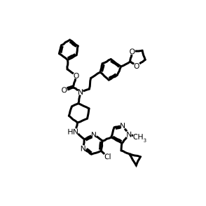 Cn1ncc(-c2nc(NC3CCC(N(CCc4ccc(C5OCCO5)cc4)C(=O)OCc4ccccc4)CC3)ncc2Cl)c1CC1CC1